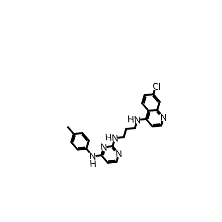 Cc1ccc(Nc2ccnc(NCCCNc3ccnc4cc(Cl)ccc34)n2)cc1